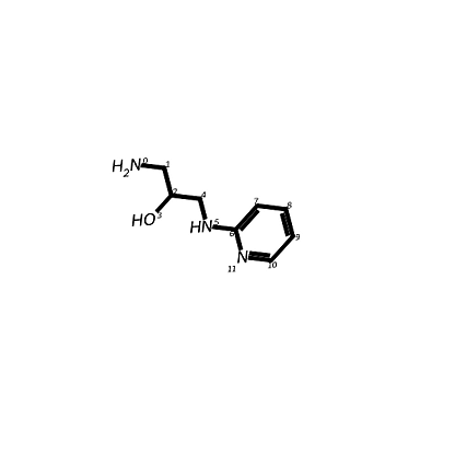 NCC(O)CNc1ccccn1